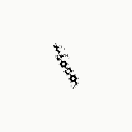 C=C1N(CCC2(C)N=N2)N=CN1c1ccc(N2CCN(c3ccc(CC)cc3)CC2)cc1